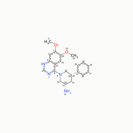 COc1cc2ncnc(N3C[C@@H](N)C[C@@H](c4ccccc4)C3)c2cc1OC